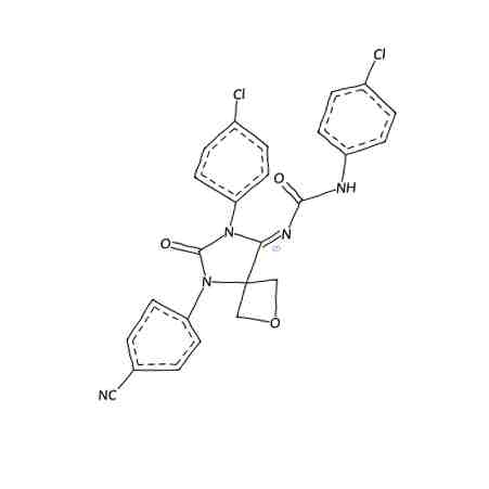 N#Cc1ccc(N2C(=O)N(c3ccc(Cl)cc3)/C(=N\C(=O)Nc3ccc(Cl)cc3)C23COC3)cc1